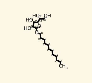 CCCCCCCCCCCCO[C@@H]1O[C@@H]([C@H](O)CO)[C@H](O)[C@H]1O